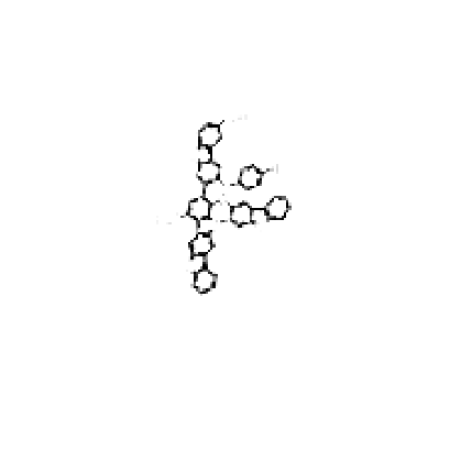 Cc1cc2c3c4c1c1cc5oc6ccccc6c5cc1n4-c1cc4oc5ccccc5c4cc1B3N(c1ccc(C(C)(C)C)cc1)c1cc3c(cc1-2)sc1ccc(C(C)(C)C)cc13